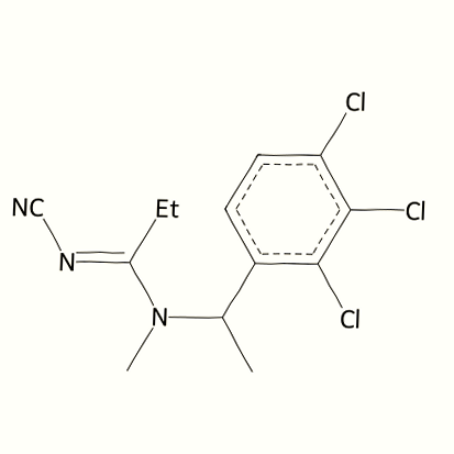 CC/C(=N\C#N)N(C)C(C)c1ccc(Cl)c(Cl)c1Cl